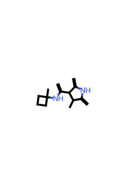 C=C1NC(=C)C(C(=C)NC2(C)CCC2)C1C